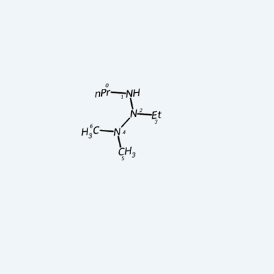 CCCNN(CC)N(C)C